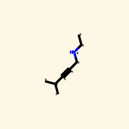 CCNCC#C[C](C)C